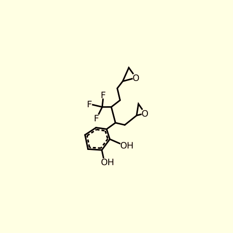 Oc1cccc(C(CC2CO2)C(CCC2CO2)C(F)(F)F)c1O